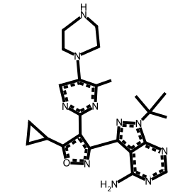 Cc1nc(-c2c(-c3nn(C(C)(C)C)c4ncnc(N)c34)noc2C2CC2)ncc1N1CCNCC1